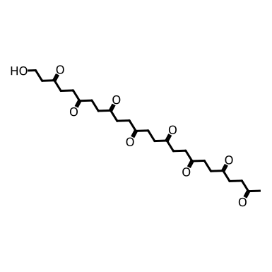 CC(=O)CCC(=O)CCC(=O)CCC(=O)CCC(=O)CCC(=O)CCC(=O)CCC(=O)CCO